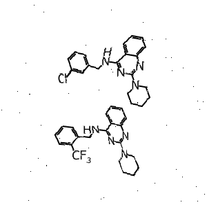 Clc1cccc(CNc2nc(N3CCCCC3)nc3ccccc23)c1.FC(F)(F)c1ccccc1CNc1nc(N2CCCCC2)nc2ccccc12